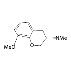 CN[C@@H]1COc2c(cccc2OC)C1